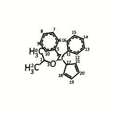 CC(C)[O][Zr]([c]1ccccc1)([c]1ccccc1)[CH]1C=CC=C1